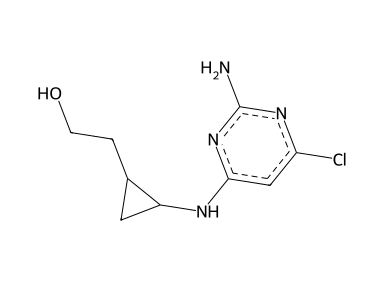 Nc1nc(Cl)cc(NC2CC2CCO)n1